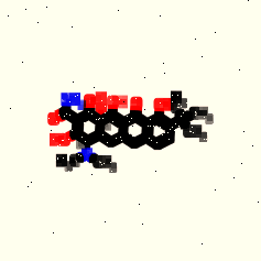 CN(C)[C@@H]1C(O)=C(C(N)=O)C(=O)[C@@]2(O)C(O)=C3C(=O)c4c(ccc(C(C)(C)C)c4O)CC3CC12